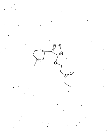 CC[S+]([O-])CCOc1nsnc1C1=CCCN(C)C1